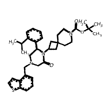 CC(C)c1ccccc1C1CN(Cc2cccc3sccc23)CC(=O)N1C1CC2(CCN(C(=O)OC(C)(C)C)CC2)C1